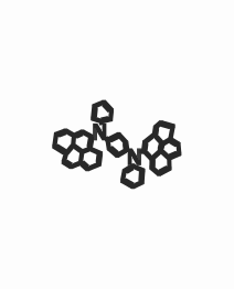 C1=CC2=CC(N(c3ccccc3)c3ccc(N(c4ccccc4)c4cc5cccc6ccc7cccc4c7c65)cc3)=C3C=CC=C4C=CC(=C1)C2C43